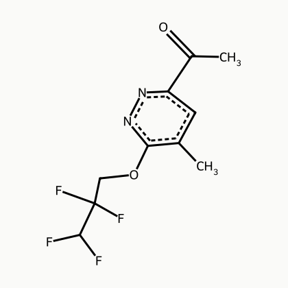 CC(=O)c1cc(C)c(OCC(F)(F)C(F)F)nn1